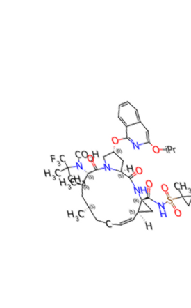 CC(C)Oc1cc2ccccc2c(O[C@@H]2C[C@H]3C(=O)N[C@]4(C(=O)NS(=O)(=O)C5(C)CC5)C[C@H]4C=CCC[C@H](C)C[C@@H](C)[C@H](N(C(=O)O)C(C)(C)C(F)(F)F)C(=O)N3C2)n1